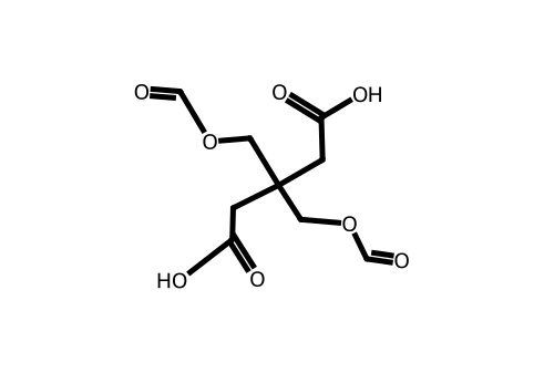 O=COCC(COC=O)(CC(=O)O)CC(=O)O